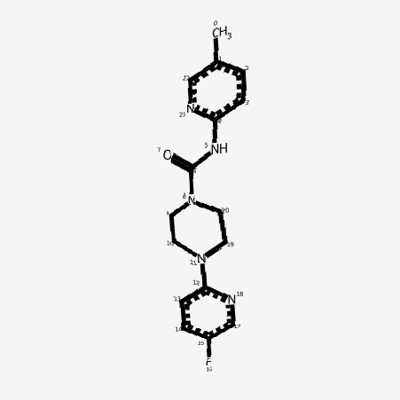 Cc1ccc(NC(=O)N2CCN(c3ccc(F)cn3)CC2)nc1